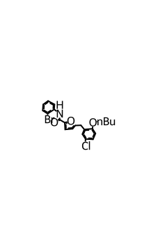 CCCCOc1ccc(Cl)cc1Cc1ccc(C(=O)Nc2ccccc2Br)o1